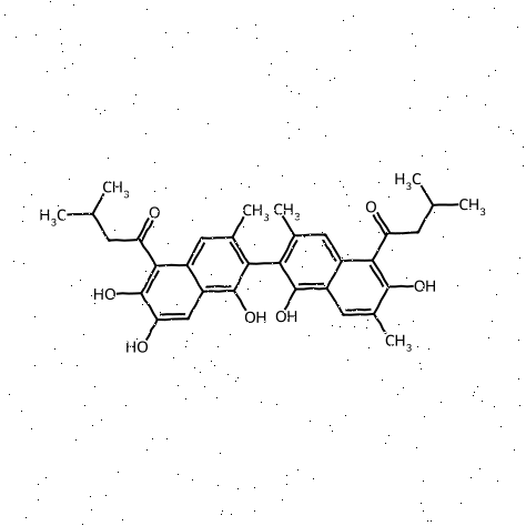 Cc1cc2c(O)c(-c3c(C)cc4c(C(=O)CC(C)C)c(O)c(O)cc4c3O)c(C)cc2c(C(=O)CC(C)C)c1O